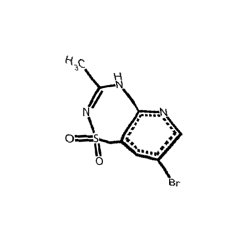 CC1=NS(=O)(=O)c2cc(Br)cnc2N1